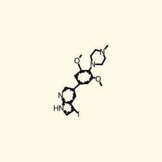 COc1cc(-c2cnc3[nH]cc(I)c3c2)cc(OC)c1N1CCN(C)CC1